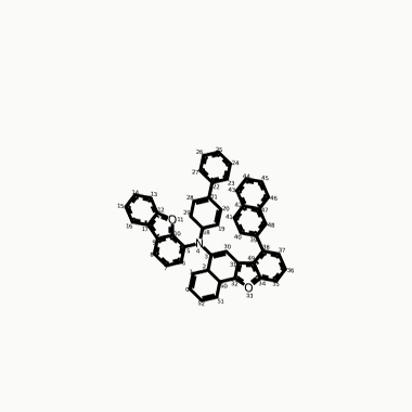 C1=CC2C(N(c3cccc4c3oc3ccccc34)C3C=CC(c4ccccc4)=CC3)=Cc3c(oc4cccc(-c5ccc6ccccc6c5)c34)C2C=C1